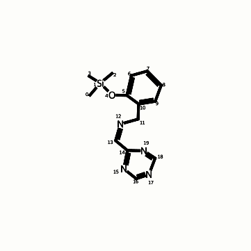 C[Si](C)(C)Oc1ccccc1C/N=C\c1ncncn1